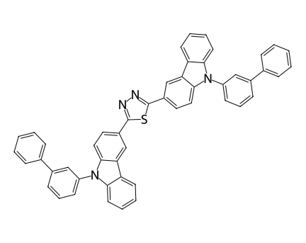 c1ccc(-c2cccc(-n3c4ccccc4c4cc(-c5nnc(-c6ccc7c(c6)c6ccccc6n7-c6cccc(-c7ccccc7)c6)s5)ccc43)c2)cc1